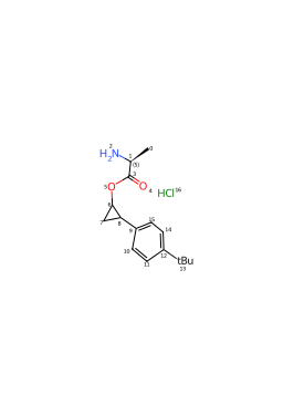 C[C@H](N)C(=O)OC1CC1c1ccc(C(C)(C)C)cc1.Cl